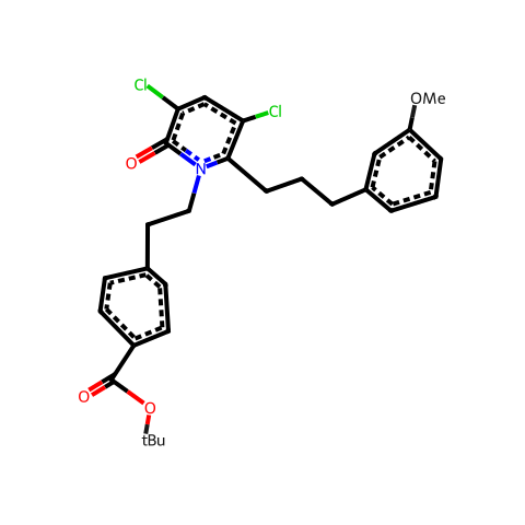 COc1cccc(CCCc2c(Cl)cc(Cl)c(=O)n2CCc2ccc(C(=O)OC(C)(C)C)cc2)c1